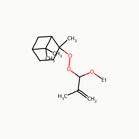 C=C(C)C(OCC)OOC1(C)CCC2CC1C2(C)C